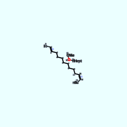 CC/C=C/CCCCCCCC/C=C\CCCC.CCCCCCCOOC